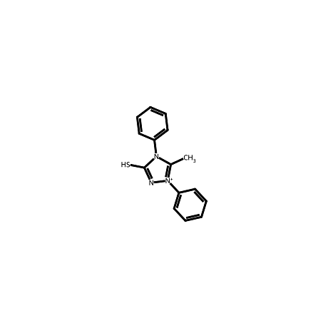 Cc1n(-c2ccccc2)c(S)n[n+]1-c1ccccc1